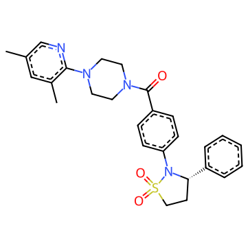 Cc1cnc(N2CCN(C(=O)c3ccc(N4[C@H](c5ccccc5)CCS4(=O)=O)cc3)CC2)c(C)c1